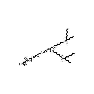 CCCCCCC(CCCC)C(=O)OCCCCCCOCC(COCCOCCOCCOCCNC(=O)c1c[nH]cn1)OCCCCCCOC(=O)C(CCCC)CCCCCC